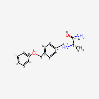 C[C@H](NCc1ccc(COc2ccccc2)cc1)C(N)=O